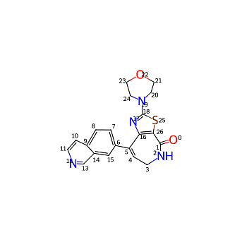 O=C1NCC=C(c2ccc3ccncc3c2)c2nc(N3CCOCC3)sc21